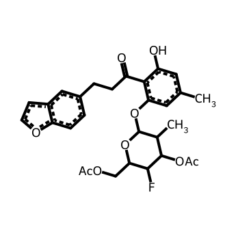 CC(=O)OCC1OC(Oc2cc(C)cc(O)c2C(=O)CCc2ccc3occc3c2)C(C)C(OC(C)=O)C1F